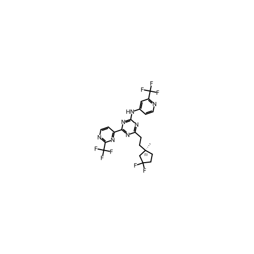 C[C@]1(CCc2nc(Nc3ccnc(C(F)(F)F)c3)nc(-c3ccnc(C(F)(F)F)n3)n2)CCC(F)(F)C1